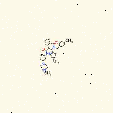 Cc1ccc(CN2C(=O)c3ccccc3C(C(=O)Nc3cccc(N4CCN(C)CC4)c3)C2c2ccc(C(F)(F)F)cc2)cc1